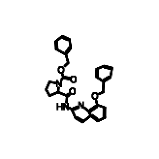 O=C(Nc1ccc2cccc(OCc3ccccc3)c2n1)C1CCCN1C(=O)OCc1ccccc1